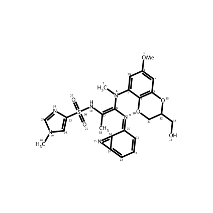 COc1cc2c(c(N(C)C(/N=c3/cccc4nc3-4)=C(/C)NS(=O)(=O)c3cn(C)cn3)c1)OCC(CO)O2